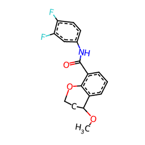 COC1CCOc2c(C(=O)Nc3ccc(F)c(F)c3)cccc21